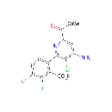 COC(=O)c1cc(N)c(Cl)c(-c2ccc(Cl)c(F)c2C(=O)O)n1